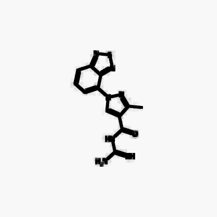 Cc1nn(-c2cccc3nsnc23)cc1C(=O)NC(=N)N